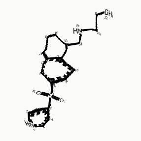 O=S(=O)(c1cc[nH]c1)c1ccc2c(c1)CCCC2CNCCO